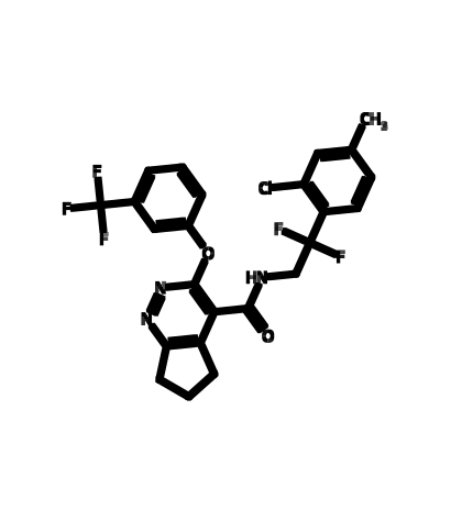 Cc1ccc(C(F)(F)CNC(=O)c2c(Oc3cccc(C(F)(F)F)c3)nnc3c2CCC3)c(Cl)c1